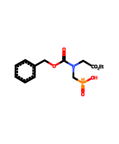 CCOC(=O)CN(C[PH](=O)O)C(=O)OCc1ccccc1